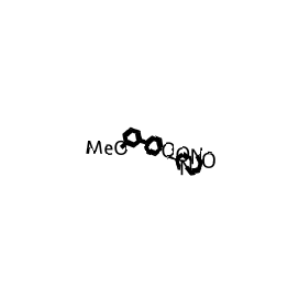 COc1cccc(-c2ccc(OC[C@@H]3Cn4ccc(=O)nc4O3)cc2)c1